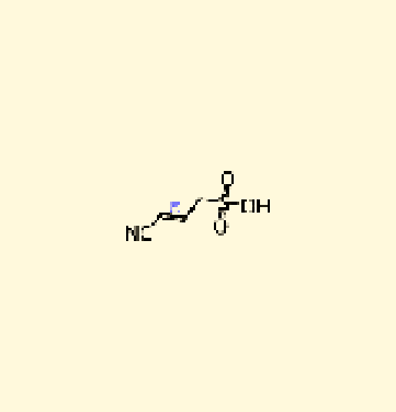 N#C/C=C/CS(=O)(=O)O